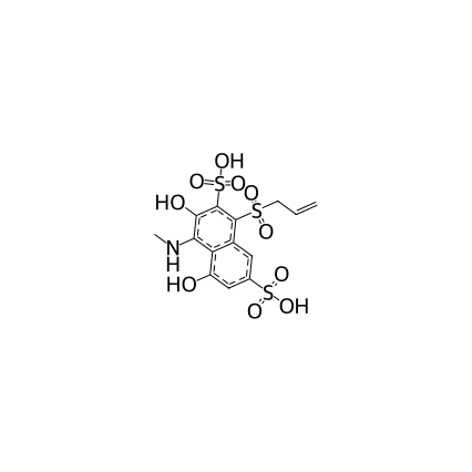 C=CCS(=O)(=O)c1c(S(=O)(=O)O)c(O)c(NC)c2c(O)cc(S(=O)(=O)O)cc12